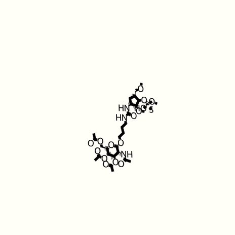 COC[C@H]1C[C@H](NC(=O)NCCCCO[C@@H]2O[C@H](COC(C)=O)[C@H](OC(C)=O)[C@H](OC(C)=O)[C@H]2NC(C)=O)[C@@H](OC)C1OP(O)(=S)OC